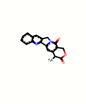 CC1C(=O)OCc2c1cc1n(c2=O)Cc2cc3ccccc3nc2-1